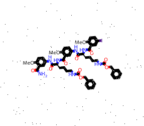 COc1ccc(NC(=O)[C@H](CCCCNC(=O)OCc2ccccc2)NC(=O)c2cc(NC(=O)[C@H](CCCCNC(=O)OCc3ccccc3)NC(=O)c3cc(I)ccc3OC)ccc2OC)cc1C(N)=O